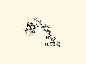 COc1cc(CO[C@H](CCC=O)CCN2CCCN(CCCNC(=O)OC(C)(C)C)CC2)cc(OC)c1OC